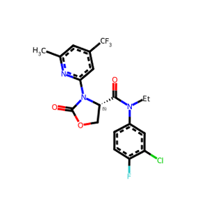 CCN(C(=O)[C@@H]1COC(=O)N1c1cc(C(F)(F)F)cc(C)n1)c1ccc(F)c(Cl)c1